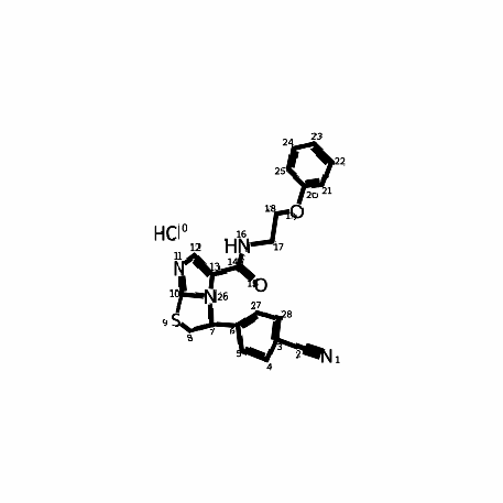 Cl.N#Cc1ccc(C2CSc3ncc(C(=O)NCCOc4ccccc4)n32)cc1